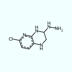 NNC1CNc2ccc(Cl)nc2N1